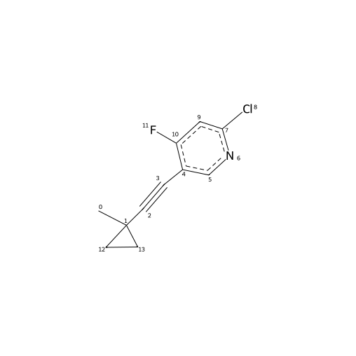 CC1(C#Cc2cnc(Cl)cc2F)CC1